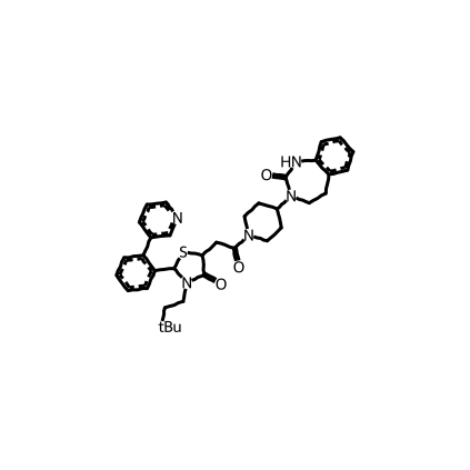 CC(C)(C)CCN1C(=O)C(CC(=O)N2CCC(N3CCc4ccccc4NC3=O)CC2)SC1c1ccccc1-c1cccnc1